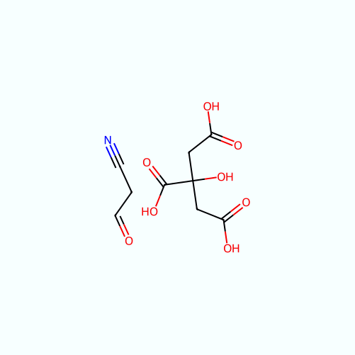 N#CCC=O.O=C(O)CC(O)(CC(=O)O)C(=O)O